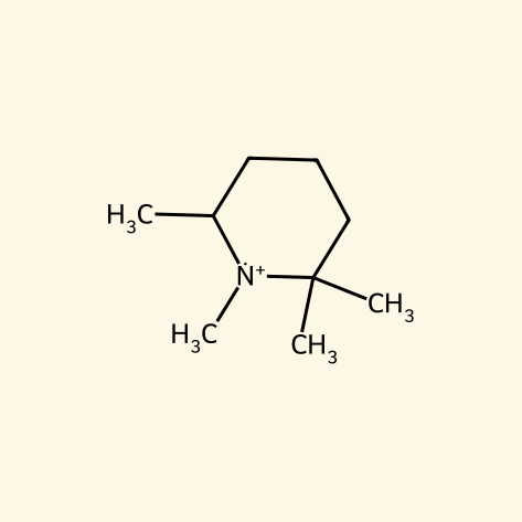 CC1CCCC(C)(C)[N+]1C